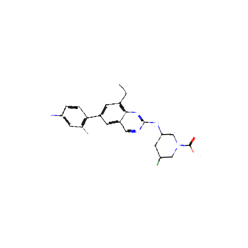 CCc1cc(-c2ccc(N)cc2F)cc2cnc(NC3CC(F)CN(C(=O)O)C3)nc12